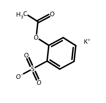 CC(=O)Oc1ccccc1S(=O)(=O)[O-].[K+]